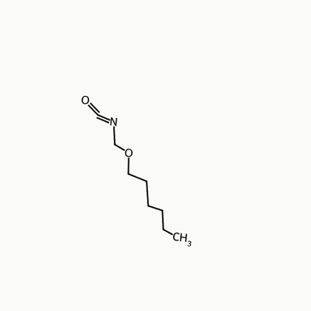 CCCCCCOCN=C=O